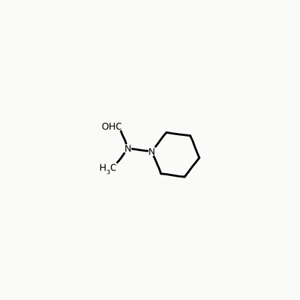 CN(C=O)N1CCCCC1